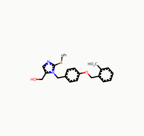 CCCSc1ncc(CO)n1Cc1ccc(OCc2ccccc2C(=O)O)cc1